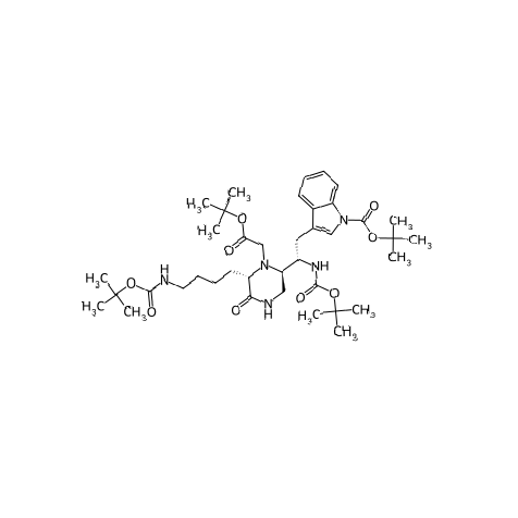 CC(C)(C)OC(=O)CN1[C@@H]([C@H](Cc2cn(C(=O)OC(C)(C)C)c3ccccc23)NC(=O)OC(C)(C)C)CNC(=O)[C@@H]1CCCCNC(=O)OC(C)(C)C